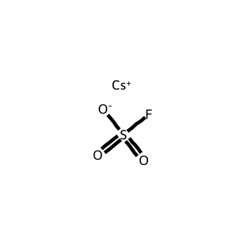 O=S(=O)([O-])F.[Cs+]